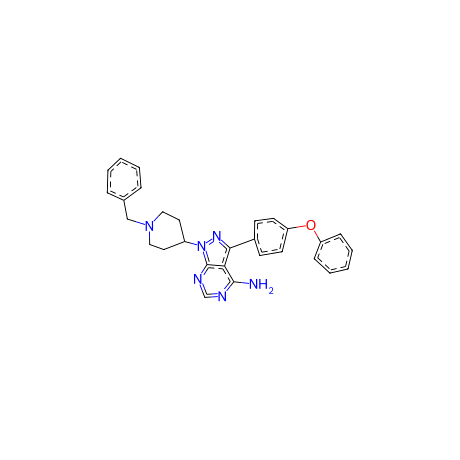 Nc1ncnc2c1c(-c1ccc(Oc3ccccc3)cc1)nn2C1CCN(Cc2ccccc2)CC1